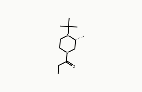 CCC(=O)N1CCN(C(C)(C)C)[C@H](C)C1